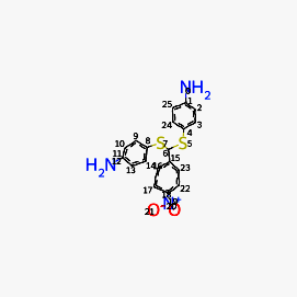 Nc1ccc(SC(Sc2ccc(N)cc2)c2ccc([N+](=O)[O-])cc2)cc1